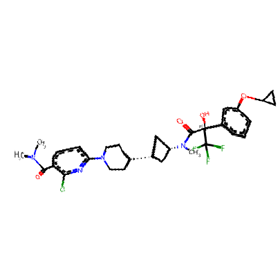 CN(C)C(=O)c1ccc(N2CCC([C@H]3C[C@@H](N(C)C(=O)[C@](O)(c4cccc(OC5CC5)c4)C(F)(F)F)C3)CC2)nc1Cl